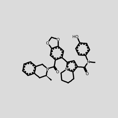 C[C@H]1Cc2ccccc2CN1C(=O)c1cc2c(cc1-c1cc(C(=O)N(C)c3ccc(O)cc3)c3n1CCCC3)OCO2